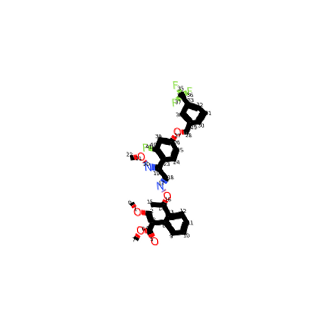 COC=C(C(=O)OC)c1ccccc1C(C)ON=CC(=NOC)c1ccc(OCc2cccc(C(F)(F)F)c2)cc1F